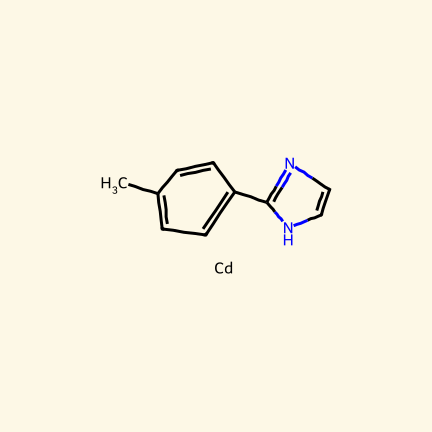 Cc1ccc(-c2ncc[nH]2)cc1.[Cd]